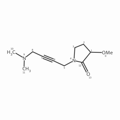 COC1CCN(CC#CCN(C)C)C1=O